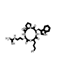 CC(C)CCCC1OC(=O)[C@H](CCCNC(=N)N)NC(=O)[C@@H]2CCCN2C(=O)[C@@H](Cc2c[nH]c3ccccc23)NC1=O